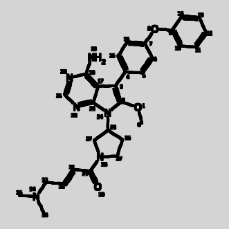 COc1c(-c2ccc(Oc3ccccc3)cc2)c2c(N)ncnc2n1C1CCN(C(=O)/C=C/CN(C)C)C1